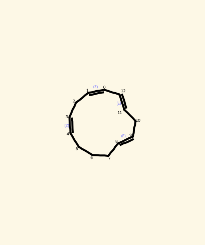 C1=C\C/C=C\CCC/C=C/C/C=C/1